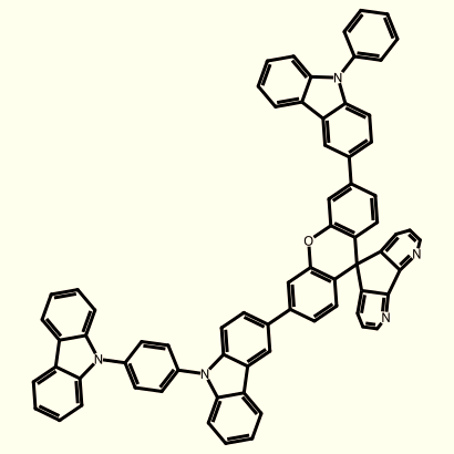 c1ccc(-n2c3ccccc3c3cc(-c4ccc5c(c4)Oc4cc(-c6ccc7c(c6)c6ccccc6n7-c6ccc(-n7c8ccccc8c8ccccc87)cc6)ccc4C54c5cccnc5-c5ncccc54)ccc32)cc1